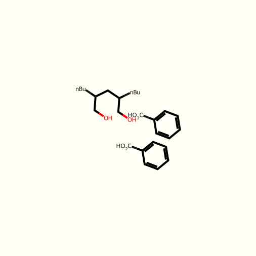 CCCCC(CO)CC(CO)CCCC.O=C(O)c1ccccc1.O=C(O)c1ccccc1